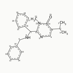 CC(C)c1cnc(C(NCc2ccccc2)c2ccccc2)n(C)c1=O